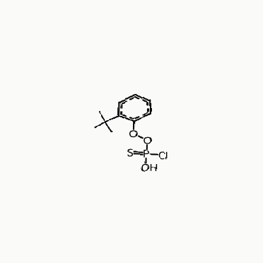 CC(C)(C)c1ccccc1OOP(O)(=S)Cl